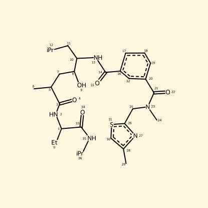 CCC(NC(=O)C(C)CC(O)C(CC(C)C)NC(=O)c1cccc(C(=O)N(C)Cc2nc(C)cs2)c1)C(=O)NC(C)C